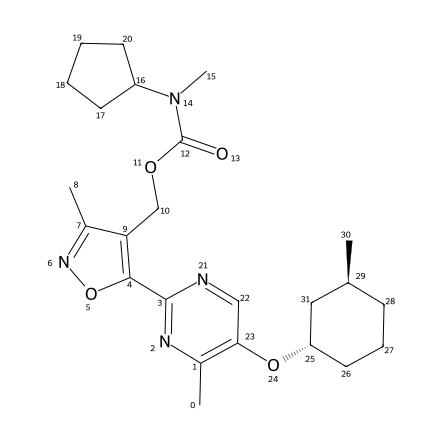 Cc1nc(-c2onc(C)c2COC(=O)N(C)C2CCCC2)ncc1O[C@H]1CCC[C@H](C)C1